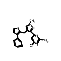 Cn1cc(Cc2sccc2-c2ccccc2)c(-c2cc(Cl)nc(N)n2)n1